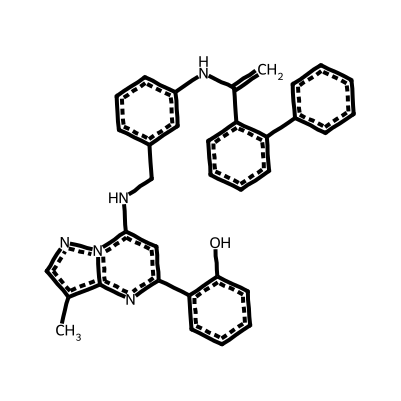 C=C(Nc1cccc(CNc2cc(-c3ccccc3O)nc3c(C)cnn23)c1)c1ccccc1-c1ccccc1